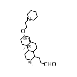 C[C@@H]1CCC2C(CCC3=C[C@@H](OCCN4CCCCC4)CC[C@@]32C)C1CCC=O